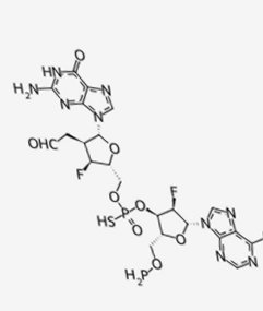 Nc1nc2c(ncn2[C@@H]2O[C@H](COP(=O)(S)O[C@H]3[C@@H](F)[C@H](n4cnc5c(N)ncnc54)O[C@@H]3COP)[C@@H](F)[C@H]2CC=O)c(=O)[nH]1